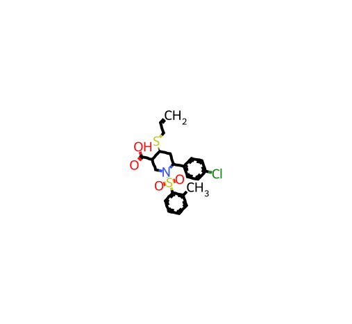 C=CCS[C@@H]1CC(c2ccc(Cl)cc2)N(S(=O)(=O)c2ccccc2C)CC1C(=O)O